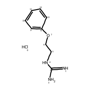 Cl.N=C(N)NCCOc1ccccc1